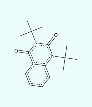 CC(C)(C)n1c(=O)c2ccccc2n(C(C)(C)C)c1=O